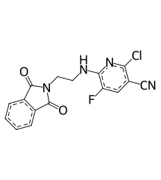 N#Cc1cc(F)c(NCCN2C(=O)c3ccccc3C2=O)nc1Cl